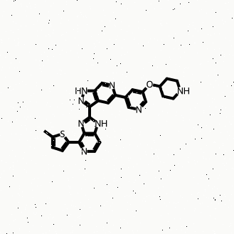 Cc1ccc(-c2nccc3[nH]c(-c4n[nH]c5cnc(-c6cncc(OC7CCNCC7)c6)cc45)nc23)s1